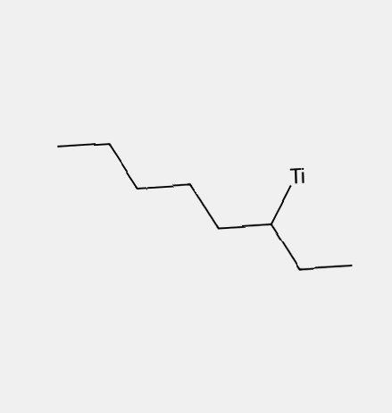 CCCCC[CH]([Ti])CC